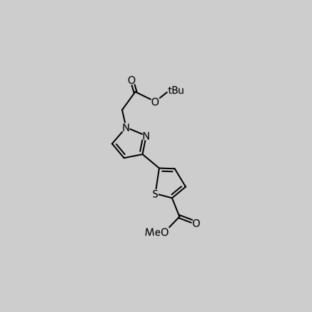 COC(=O)c1ccc(-c2ccn(CC(=O)OC(C)(C)C)n2)s1